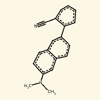 CN(C)c1ccc2cc(-c3ccccc3C#N)ccc2c1